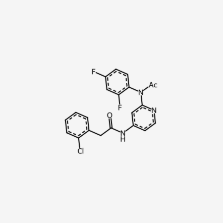 CC(=O)N(c1cc(NC(=O)Cc2ccccc2Cl)ccn1)c1ccc(F)cc1F